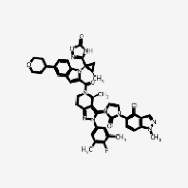 Cc1cc(-n2nc3c(c2-n2ccn(-c4ccc5c(cnn5C)c4Cl)c2=O)[C@H](C)N(C(=O)c2cc4cc(C5CCOCC5)ccc4n2[C@@]2(c4noc(=O)[nH]4)C[C@@H]2C)CC3)cc(C)c1F